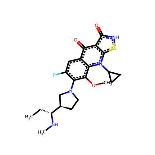 CC[C@@H](NC)[C@@H]1CCN(c2c(F)cc3c(=O)c4c(=O)[nH]sc4n(C4CC4)c3c2OC)C1